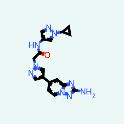 Nc1nc2cc(-c3cnn(CC(=O)Nc4cnn(C5CC5)c4)c3)ccn2n1